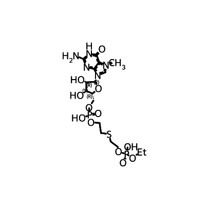 CCOP(=O)(O)OCCSCCOP(=O)(O)OC[C@H]1O[C@@H](n2c[n+](C)c3c(=O)[nH]c(N)nc32)[C@H](O)[C@@H]1O